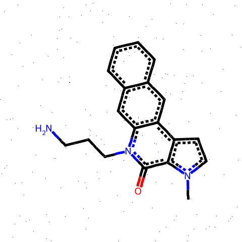 Cn1ccc2c3cc4ccccc4cc3n(CCCN)c(=O)c21